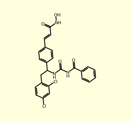 O=C(C=Cc1ccc(C(Cc2ccc(Cl)cc2Cl)NC(=O)NC(=O)c2ccccc2)cc1)NO